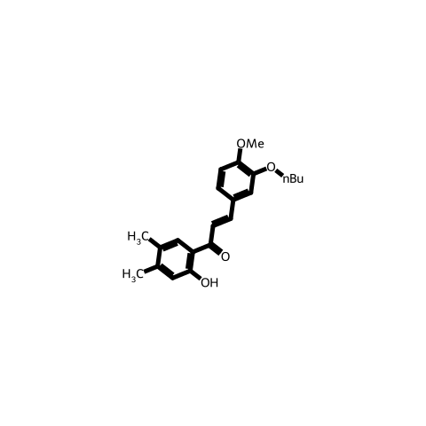 CCCCOc1cc(/C=C/C(=O)c2cc(C)c(C)cc2O)ccc1OC